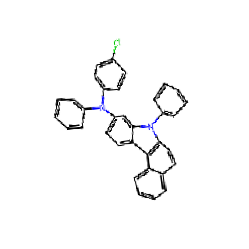 Clc1ccc(N(c2ccccc2)c2ccc3c4c5ccccc5ccc4n(-c4ccccc4)c3c2)cc1